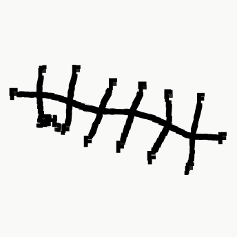 FC(F)(F)C(F)(F)C(F)(F)C(F)(F)C(F)(F)C(F)(F)[SiH3]